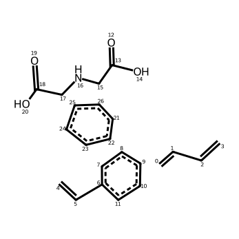 C=CC=C.C=Cc1ccccc1.O=C(O)CNCC(=O)O.c1ccccc1